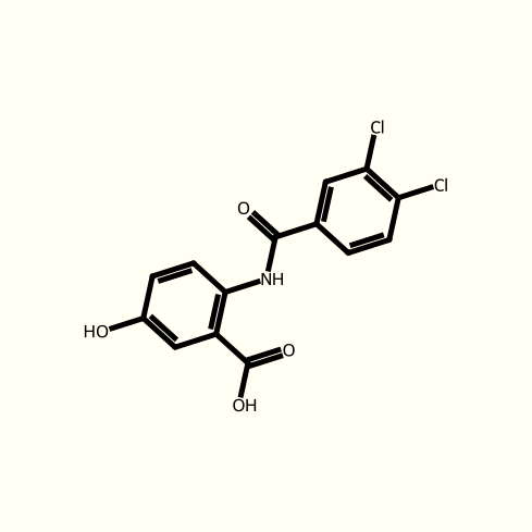 O=C(Nc1ccc(O)cc1C(=O)O)c1ccc(Cl)c(Cl)c1